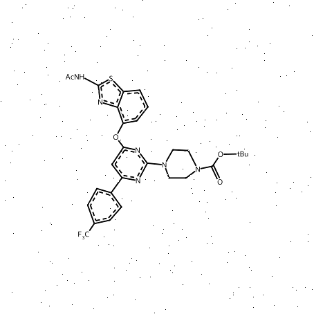 CC(=O)Nc1nc2c(Oc3cc(-c4ccc(C(F)(F)F)cc4)nc(N4CCN(C(=O)OC(C)(C)C)CC4)n3)cccc2s1